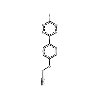 C#CCOc1ccc(-c2nnc(C)nn2)cc1